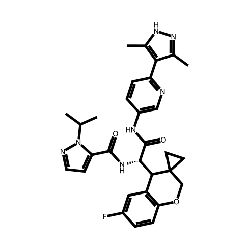 Cc1n[nH]c(C)c1-c1ccc(NC(=O)[C@@H](NC(=O)c2ccnn2C(C)C)C2c3cc(F)ccc3OCC23CC3)cn1